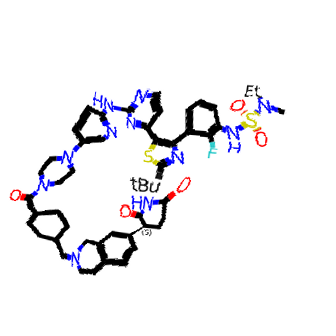 CCN(C)S(=O)(=O)Nc1cccc(-c2nc(C(C)(C)C)sc2-c2ccnc(Nc3ccc(N4CCN(C(=O)C5CCC(CN6CCc7ccc([C@@H]8CCC(=O)NC8=O)cc7C6)CC5)CC4)cn3)n2)c1F